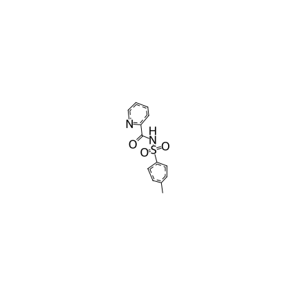 Cc1ccc(S(=O)(=O)NC(=O)c2ccccn2)cc1